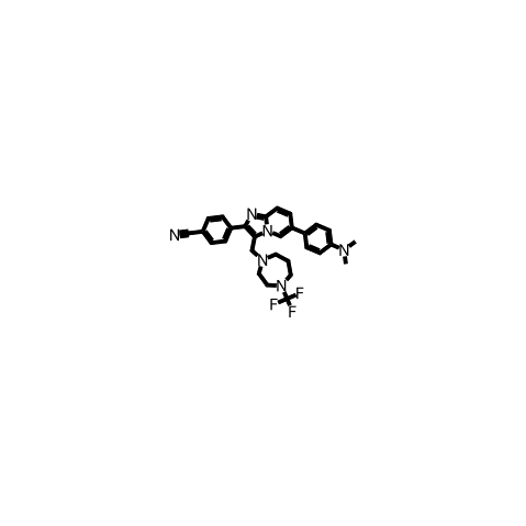 CN(C)c1ccc(-c2ccc3nc(-c4ccc(C#N)cc4)c(CN4CCCN(C(F)(F)F)CC4)n3c2)cc1